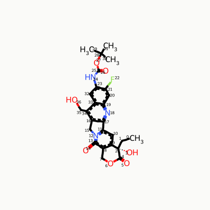 CC[C@@]1(O)C(=O)OCc2c1cc1n(c2=O)Cc2c-1nc1cc(F)c(NC(=O)OC(C)(C)C)cc1c2CO